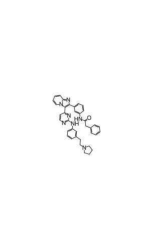 O=C(Cc1ccccc1)Nc1cccc(-c2nc3ccccn3c2-c2ccnc(Nc3cccc(CCN4CCCC4)c3)n2)c1